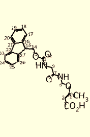 C[C@H](CC(=O)O)OCNC(=O)CNC(=O)OCC1c2ccccc2-c2ccccc21